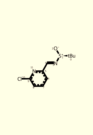 CC(C)(C)[S@+]([O-])/N=C/c1cccc(Cl)n1